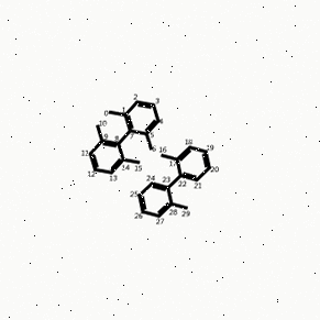 Cc1cccc(C)c1-c1c(C)cccc1C.Cc1ccccc1-c1ccccc1C